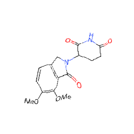 COc1ccc2c(c1OC)C(=O)N(C1CCC(=O)NC1=O)C2